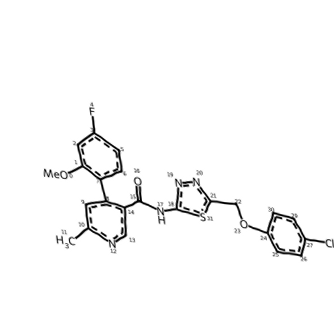 COc1cc(F)ccc1-c1cc(C)ncc1C(=O)Nc1nnc(COc2ccc(Cl)cc2)s1